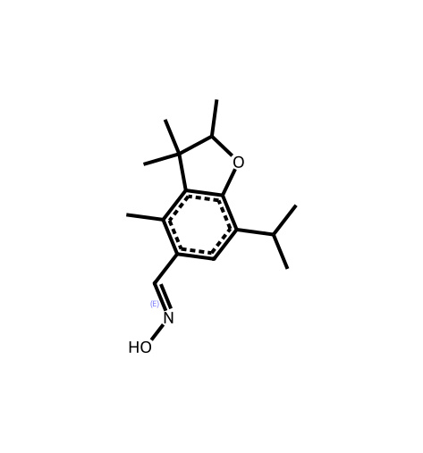 Cc1c(/C=N/O)cc(C(C)C)c2c1C(C)(C)C(C)O2